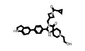 O=C(C1CC1)N1CC(CN2C(=O)C3(CCN(CCO)CC3)NC2c2ccc(C3C=C4CCNC4=CC3)cc2)C1